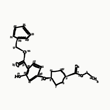 CCOC(=O)[C@H]1CC[C@@H](Oc2ccc(C(=O)OCc3ccccc3)c(O)c2)CC1